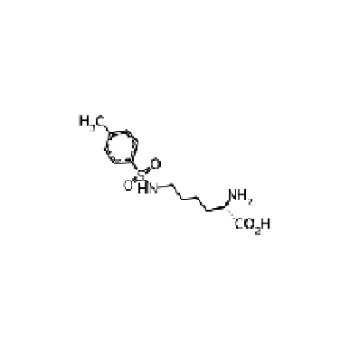 Cc1ccc(S(=O)(=O)NCCCC[C@H](N)C(=O)O)cc1